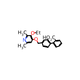 CCOc1c(OCc2ccc(-c3ccccc3C(=O)O)cc2)cc(C)nc1C